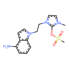 C[n+]1ccn(CCn2ccc3c(N)cccc32)c1OS(C)(=O)=O